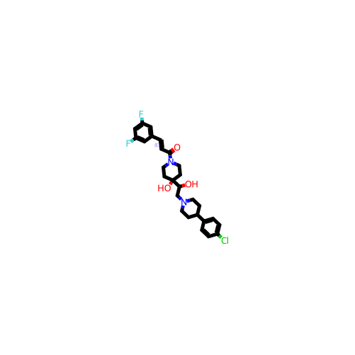 O=C(/C=C/c1cc(F)cc(F)c1)N1CCC(O)(C(O)CN2CCC(c3ccc(Cl)cc3)CC2)CC1